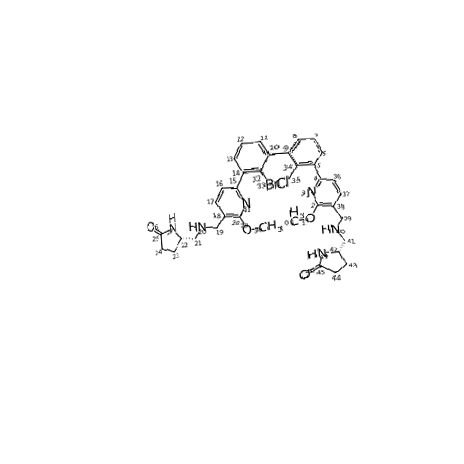 COc1nc(-c2cccc(-c3cccc(-c4ccc(CNC[C@@H]5CCC(=O)N5)c(OC)n4)c3Br)c2Cl)ccc1CNC[C@@H]1CCC(=O)N1